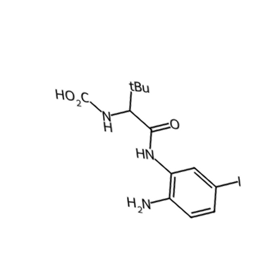 CC(C)(C)C(NC(=O)O)C(=O)Nc1cc(I)ccc1N